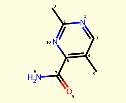 Cc1ncc(C)c(C(N)=O)n1